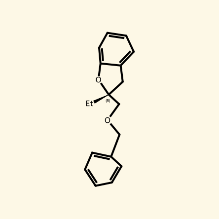 CC[C@]1(COCc2ccccc2)Cc2ccccc2O1